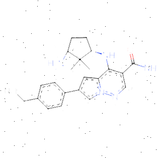 CC(=O)NCc1ccc(-c2cc3c(N[C@@H]4CC[C@](C)(N)C4(C)C)c(C(N)=O)cnn3c2)cc1